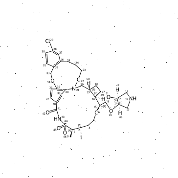 C[C@@H]1[C@@H](C)CCC[C@H]([C@@H]2O[C@H]3CNC[C@H]3O2)[C@@H]2CC[C@H]2CN2CCCCc3cc(Cl)ccc3COc3ccc(cc32)C(=O)NS1(=O)=O